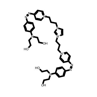 OCCN(CCO)c1ccc(/N=N\c2cc[n+](CCCn3cc[n+](CCC[n+]4ccc(/N=N\c5ccc(N(CCO)CCO)cc5)cc4)c3)cc2)cc1